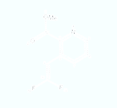 COC(=O)c1ncccc1C=C(F)F